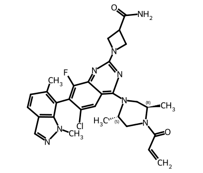 C=CC(=O)N1C[C@H](C)N(c2nc(N3CC(C(N)=O)C3)nc3c(F)c(-c4c(C)ccc5cnn(C)c45)c(Cl)cc23)C[C@H]1C